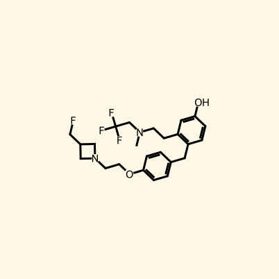 CN(CCc1cc(O)ccc1Cc1ccc(OCCN2CC(CF)C2)cc1)CC(F)(F)F